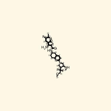 CNC1CN(c2ccc3c(n2)CCC(NC(=O)c2sc4nc(C)c(F)cc4c2N)C3)CC1C(F)(F)COC